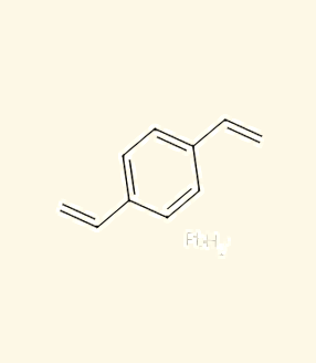 C=Cc1ccc(C=C)cc1.[PbH2]